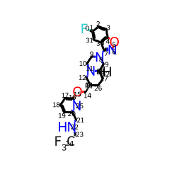 Fc1ccc2onc(N3CCN4C[C@H](COc5cccc(CNCC(F)(F)F)n5)CC[C@H]4C3)c2c1